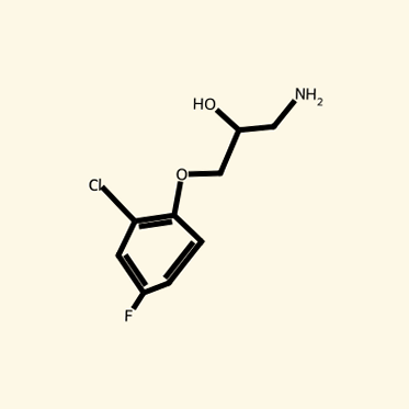 NCC(O)COc1ccc(F)cc1Cl